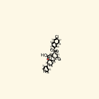 CC(O)CC12CN(S(=O)(=O)c3ccc4cc(Cl)ccc4c3)CC(=O)N1CC1(CCN(c3ccncc3)CC1)O2